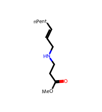 CCCCCC=CCNCCC(=O)OC